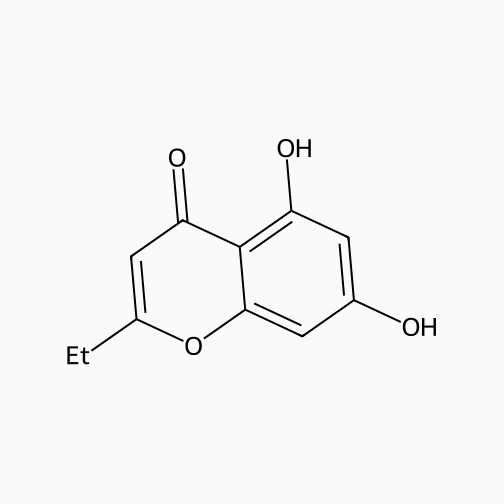 CCc1cc(=O)c2c(O)cc(O)cc2o1